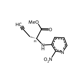 C#CC[C@@H](Nc1cccnc1[N+](=O)[O-])C(=O)OC